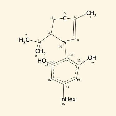 C=C(C)C1CCC(C)=C[C@@H]1c1c(O)cc(CCCCCC)cc1O